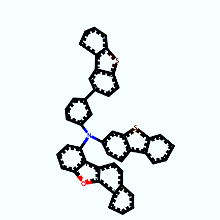 c1cc(-c2ccc3sc4ccccc4c3c2)cc(N(c2ccc3c(c2)sc2ccccc23)c2cccc3oc4c5ccccc5ccc4c23)c1